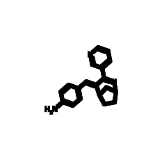 Nc1ccc(/C=C2/C(c3cccnc3)=NC3CCC2C3)cc1